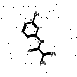 C=C(C)C(=O)Nc1cccc(O)n1